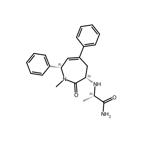 C[C@H](N[C@H]1CC(c2ccccc2)=C[C@@H](c2ccccc2)N(C)C1=O)C(N)=O